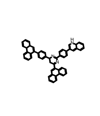 C1=CC2=CC(c3ccc(C4=NC(c5ccc(C6=CC7C=CC=CC7c7ccccc76)cc5)CC(c5cc6ccccc6c6ccccc56)=N4)cc3)=CNC2C=C1